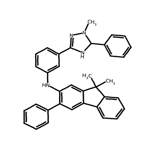 CN1N=C(c2cccc(Nc3cc4c(cc3-c3ccccc3)-c3ccccc3C4(C)C)c2)NC1c1ccccc1